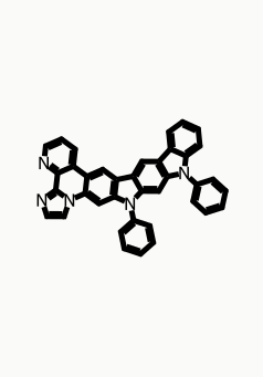 c1ccc(-n2c3ccccc3c3cc4c5cc6c7cccnc7c7nccn7c6cc5n(-c5ccccc5)c4cc32)cc1